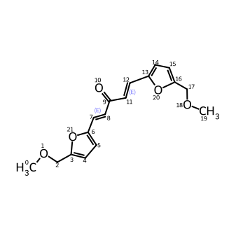 COCc1ccc(/C=C/C(=O)/C=C/c2ccc(COC)o2)o1